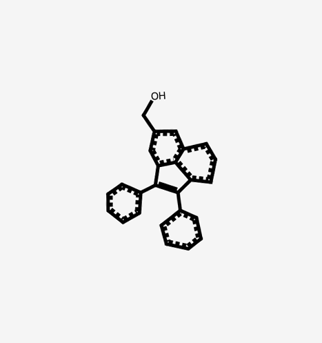 OCc1cc2c3c(cccc3c1)C(c1ccccc1)=C2c1ccccc1